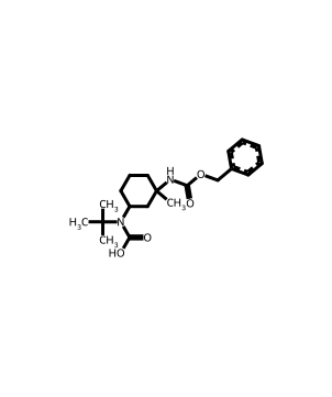 CC1(NC(=O)OCc2ccccc2)CCCC(N(C(=O)O)C(C)(C)C)C1